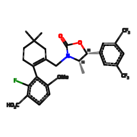 COc1ccc(C(=O)O)c(F)c1C1=C(CN2C(=O)O[C@H](c3cc(C(F)(F)F)cc(C(F)(F)F)c3)[C@@H]2C)CC(C)(C)CC1